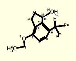 CCOc1ccc(C(F)(F)F)c2c1CC[C@H]2O